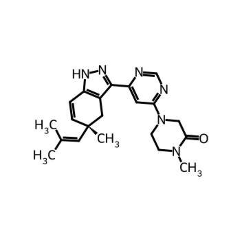 CC(C)=C[C@]1(C)C=Cc2[nH]nc(-c3cc(N4CCN(C)C(=O)C4)ncn3)c2C1